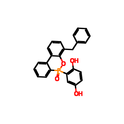 O=P1(c2cc(O)ccc2O)Oc2c(Cc3ccccc3)cccc2-c2ccccc21